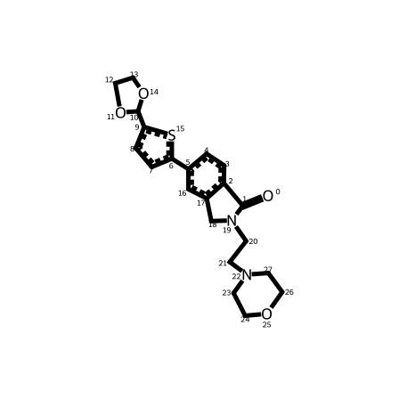 O=C1c2ccc(-c3ccc(C4OCCO4)s3)cc2CN1CCN1CCOCC1